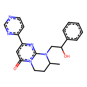 CC1CCn2c(nc(-c3ccncn3)cc2=O)N1CC(O)c1ccccc1